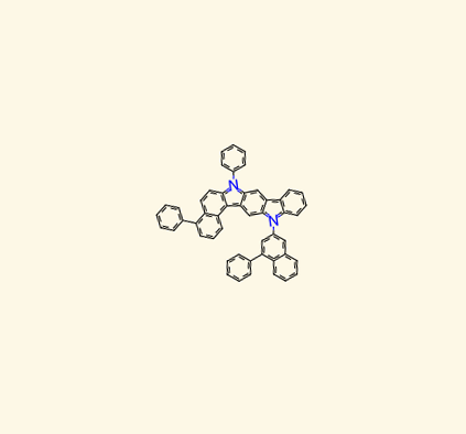 c1ccc(-c2cc(-n3c4ccccc4c4cc5c(cc43)c3c4cccc(-c6ccccc6)c4ccc3n5-c3ccccc3)cc3ccccc23)cc1